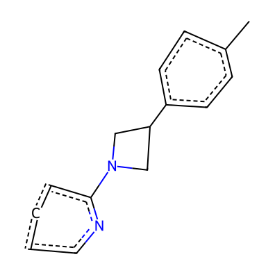 Cc1ccc(C2CN(c3ccccn3)C2)cc1